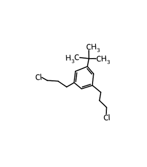 CC(C)(C)c1cc(CCCCl)cc(CCCCl)c1